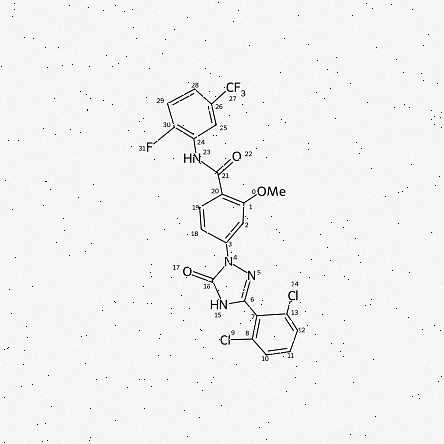 COc1cc(-n2nc(-c3c(Cl)cccc3Cl)[nH]c2=O)ccc1C(=O)Nc1cc(C(F)(F)F)ccc1F